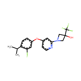 CC(C)c1ccc(Oc2ccnc(N3CC(O)(C(F)(F)F)C3)c2)cc1F